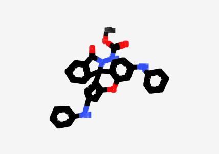 CC(C)(C)OC(=O)NN1C(=O)c2ccccc2C12c1ccc(Nc3ccccc3)cc1Oc1cc(Nc3ccccc3)ccc12